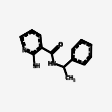 CC(NC(=O)c1cccnc1S)c1ccccc1